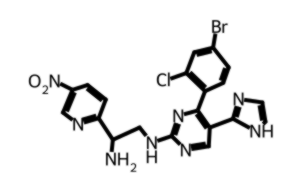 NC(CNc1ncc(-c2ncc[nH]2)c(-c2ccc(Br)cc2Cl)n1)c1ccc([N+](=O)[O-])cn1